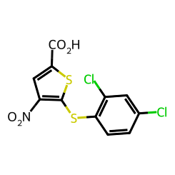 O=C(O)c1cc([N+](=O)[O-])c(Sc2ccc(Cl)cc2Cl)s1